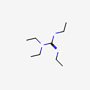 CC[N]C(=NCC)N(CC)CC